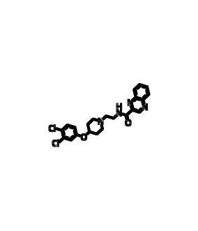 O=C(NCCN1CCC(Oc2ccc(Cl)c(Cl)c2)CC1)c1cnc2ccccc2n1